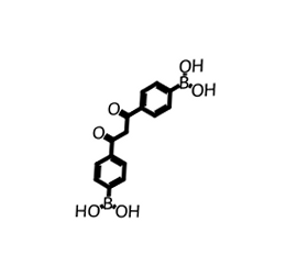 O=C(CC(=O)c1ccc(B(O)O)cc1)c1ccc(B(O)O)cc1